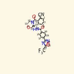 N#Cc1ccccc1C(=O)N1CCOC[C@H]1CNC(=O)c1ccc(-c2noc(C(F)(F)F)n2)cc1